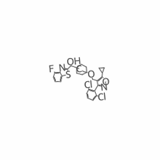 OC(c1nc2c(F)cccc2s1)C12CCC(OCc3c(-c4c(Cl)cccc4Cl)noc3C3CC3)(CC1)CC2